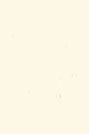 Fc1cc(F)c(P(Cl)Cl)c(F)c1